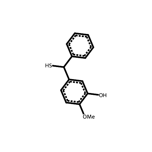 COc1ccc(C(S)c2ccccc2)cc1O